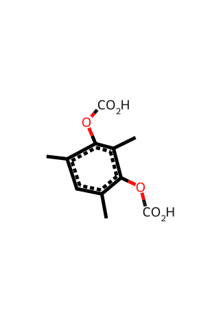 Cc1cc(C)c(OC(=O)O)c(C)c1OC(=O)O